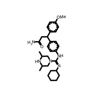 COc1ccc(C(CC(N)=O)c2ccc(N/C(=N/C3CCCCC3)N3CC(C)NC(C)C3)cc2)cc1